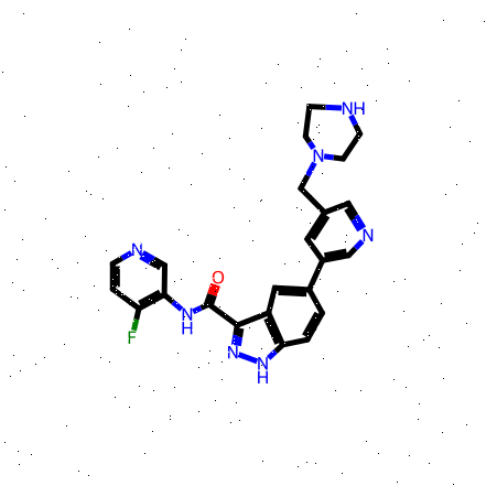 O=C(Nc1cnccc1F)c1n[nH]c2ccc(-c3cncc(CN4CCNCC4)c3)cc12